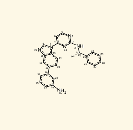 C[C@H](Nc1nccc(-n2cnc3cc(-c4cccc(N)c4)ccc32)n1)c1ccccc1